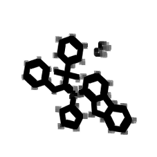 CC(C)(/[C](Cc1ccccc1)=[Zr+2](/[C]1=CC=CC1)[c]1cccc2c1Cc1ccccc1-2)c1ccccc1.[Cl-].[Cl-]